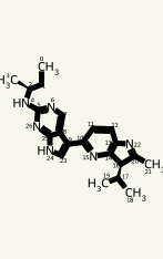 CC[C@H](C)Nc1ncc2c(-c3ccc4c(n3)[C@H](C(C)C)C(C)=N4)c[nH]c2n1